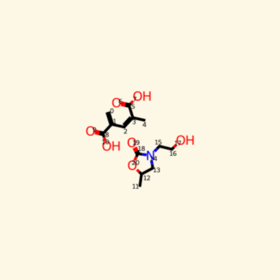 C=C(C=C(C)C(=O)O)C(=O)O.CC1CN(CCO)C(=O)O1